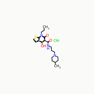 CCCn1c(=O)c(C(=O)NCCCN2CCC(C)CC2)c(O)c2ccsc21.Cl